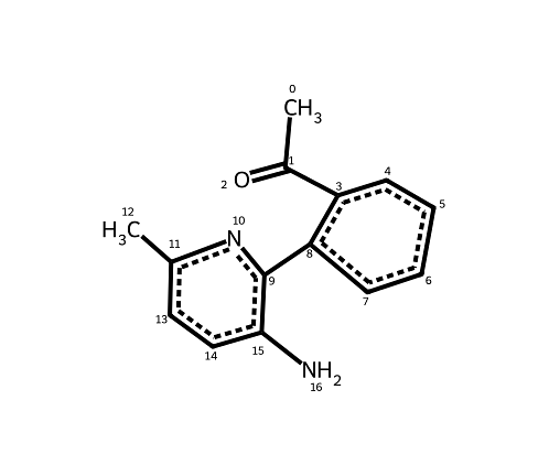 CC(=O)c1ccccc1-c1nc(C)ccc1N